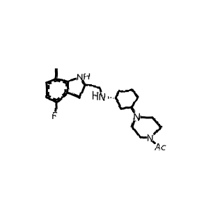 CC(=O)N1CCN(C2CCC[C@@H](NCC3Cc4c(F)ccc(C)c4N3)C2)CC1